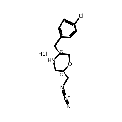 Cl.[N-]=[N+]=NC[C@H]1CN[C@@H](Cc2ccc(Cl)cc2)CO1